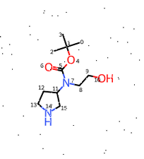 CC(C)(C)OC(=O)N(CCO)C1CCNC1